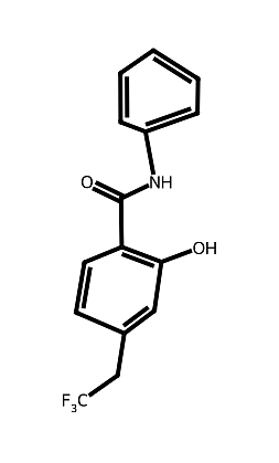 O=C(Nc1ccccc1)c1ccc(CC(F)(F)F)cc1O